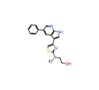 CCN(CCO)c1nc(-c2c[nH]c3ncc(-c4ccccc4)cc23)cs1